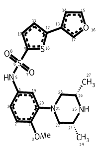 COc1ccc(NS(=O)(=O)c2ccc(-c3ccoc3)s2)cc1N1C[C@@H](C)N[C@@H](C)C1